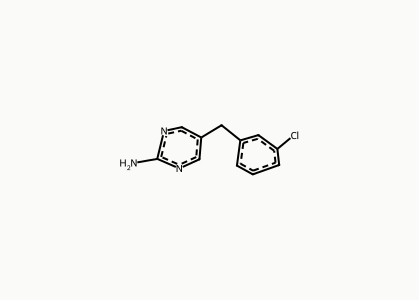 Nc1ncc(Cc2cccc(Cl)c2)cn1